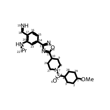 COC1CCC([S+]([O-])N2CCC(c3nc(-c4ccc(C=N)c(NC(C)C)c4)no3)CC2)CC1